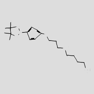 CC1(C)OB(c2ccc(OCCCOCCCCO)cc2)OC1(C)C